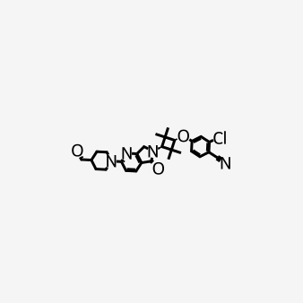 CC1(C)[C@H](Oc2ccc(C#N)c(Cl)c2)C(C)(C)[C@H]1N1Cc2nc(N3CCC(C=O)CC3)ccc2C1=O